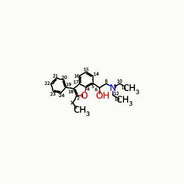 CCc1oc2c(C(O)CN(CC)CC)cccc2c1-c1ccccc1